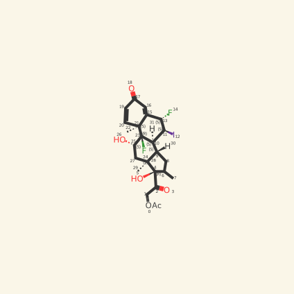 CC(=O)OCC(=O)[C@@]1(O)C(C)C[C@H]2[C@@H]3[C@H](I)[C@@H](F)C4=CC(=O)C=C[C@]4(C)[C@@]3(F)[C@@H](O)C[C@@]21C